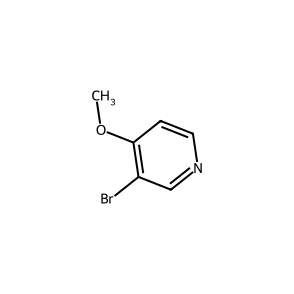 COc1ccncc1Br